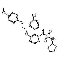 COc1cnc(OCCOc2ncnc(NS(=O)(=O)NC3CCCC3)c2-c2ccc(Cl)cc2)nc1